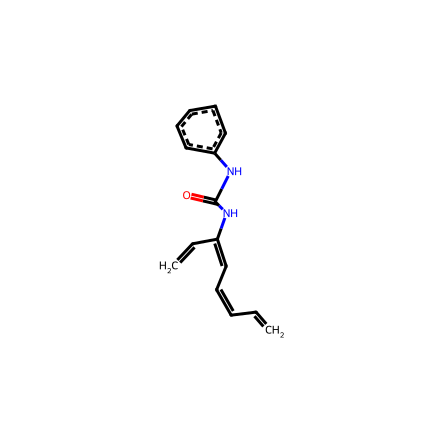 C=C/C=C\C=C(/C=C)NC(=O)Nc1ccccc1